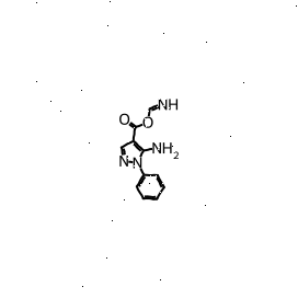 N=COC(=O)c1cnn(-c2ccccc2)c1N